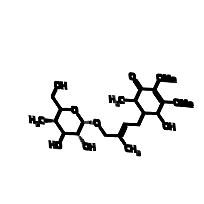 COC1=C(OC)C(O)C(C/C=C(\C)CO[C@H]2OC(CO)[C@H](C)C(O)[C@H]2O)C(C)C1=O